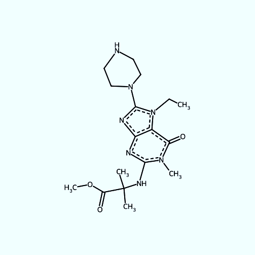 CCn1c(N2CCNCC2)nc2nc(NC(C)(C)C(=O)OC)n(C)c(=O)c21